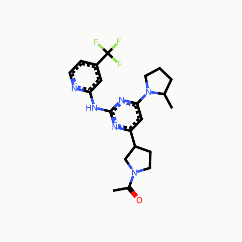 CC(=O)N1CCC(c2cc(N3CCCC3C)nc(Nc3cc(C(F)(F)F)ccn3)n2)C1